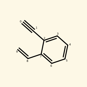 C#Cc1ccccc1C=C